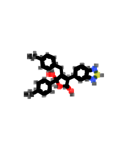 Cc1ccc(CC2=C(c3ccc4nsnc4c3)C(=O)OC2(O)c2ccc(C)cc2)cc1